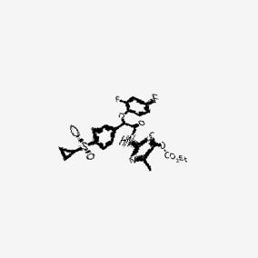 CCOC(=O)Oc1sc(NC(=O)C(Oc2ccc(F)cc2F)c2ccc(S(=O)(=O)C3CC3)cc2)nc1C